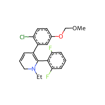 CCN1CC=CC(c2cc(OCOC)ccc2Cl)=C1c1c(F)cccc1F